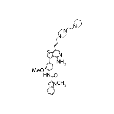 COc1cc(-c2csc3c(/C=C/CN4CCN(CCN5CCCCC5)CC4)cnc(N)c23)ccc1NC(=O)c1cc2ccccc2n1C